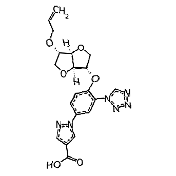 C=CCO[C@H]1CO[C@H]2[C@@H]1OC[C@@H]2Oc1ccc(-n2cc(C(=O)O)cn2)cc1-n1cnnn1